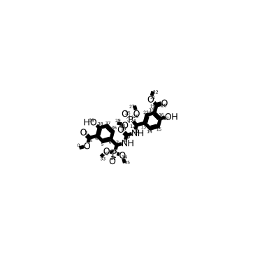 COC(=O)c1cc(C(NC(=O)NC(c2ccc(O)c(C(=O)OC)c2)P(=O)(OC)OC)P(=O)(OC)OC)ccc1O